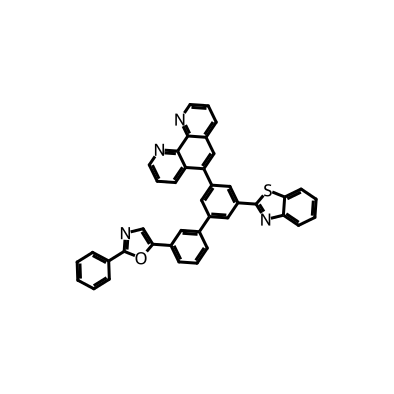 c1ccc(-c2ncc(-c3cccc(-c4cc(-c5nc6ccccc6s5)cc(-c5cc6cccnc6c6ncccc56)c4)c3)o2)cc1